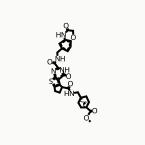 COC(=O)C12CCC(CNC(=O)C3CCc4sc5nc(C(=O)NCc6ccc7c(c6)NC(=O)CO7)[nH]c(=O)c5c43)(CC1)CC2